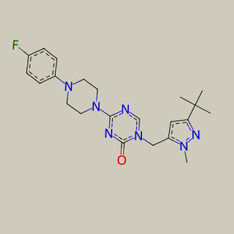 Cn1nc(C(C)(C)C)cc1Cn1cnc(N2CCN(c3ccc(F)cc3)CC2)nc1=O